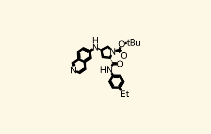 CCc1ccc(NC(=O)[C@@H]2C[C@@H](Nc3ccc4cnccc4c3)CN2C(=O)OC(C)(C)C)cc1